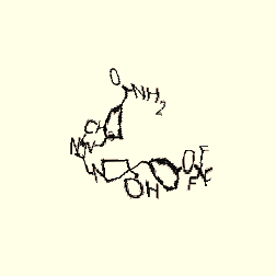 Cc1ncc(CN2CCC(CO)(Cc3cccc(OC(F)(F)F)c3)CC2)n1Cc1ccc(C(N)=O)cc1